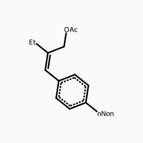 CCCCCCCCCc1ccc(C=C(CC)COC(C)=O)cc1